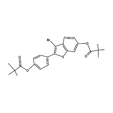 CC(C)(C)C(=O)Oc1ccc(-c2sc3cc(OC(=O)C(C)(C)C)ccc3c2Br)cc1